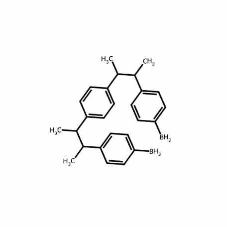 Bc1ccc(C(C)C(C)c2ccc(C(C)C(C)c3ccc(B)cc3)cc2)cc1